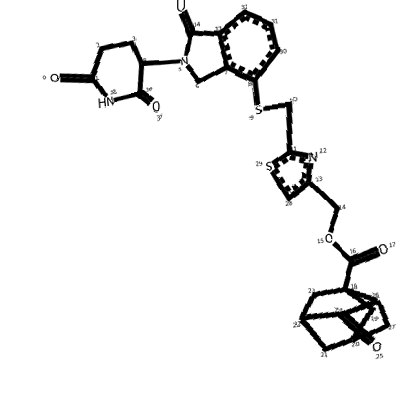 O=C1CCC(N2Cc3c(SCc4nc(COC(=O)C56CC7CC(C5)C(=O)C6C7)cs4)cccc3C2=O)C(=O)N1